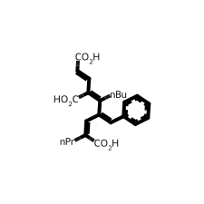 CCCCC(C(=Cc1ccccc1)C=C(CCC)C(=O)O)=C(C=CC(=O)O)C(=O)O